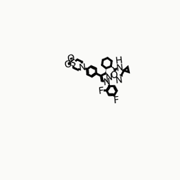 N#CC1(NC(=O)[C@@H]2CCCC[C@H]2c2nn(-c3ccc(F)cc3F)cc2-c2ccc(N3CCS(=O)(=O)CC3)cc2)CC1